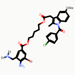 CCN(CC)Cc1cc(C(=O)OCCCCCOC(=O)Cc2c(C)n(C(=O)c3ccc(Cl)cc3)c3ccc(OC)cc23)cc(Br)c1N